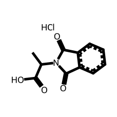 CC(C(=O)O)N1C(=O)c2ccccc2C1=O.Cl